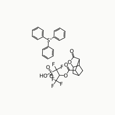 O=C(OC(C(F)(F)F)C(F)(F)S(=O)(=O)O)C1C2CC3OC(=O)C1C3C2.c1ccc([S+](c2ccccc2)c2ccccc2)cc1